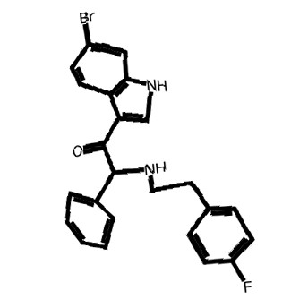 O=C(c1c[nH]c2cc(Br)ccc12)C(NCCc1ccc(F)cc1)c1ccccc1